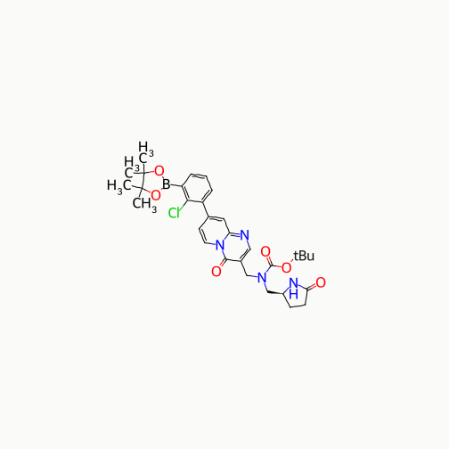 CC(C)(C)OC(=O)N(Cc1cnc2cc(-c3cccc(B4OC(C)(C)C(C)(C)O4)c3Cl)ccn2c1=O)C[C@@H]1CCC(=O)N1